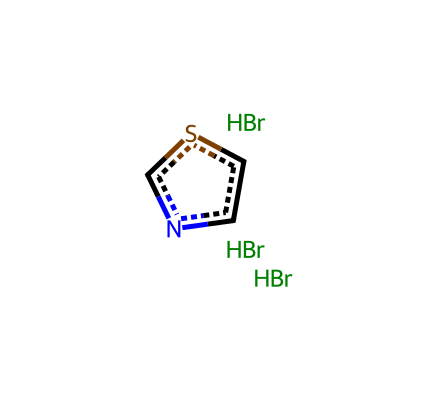 Br.Br.Br.c1cscn1